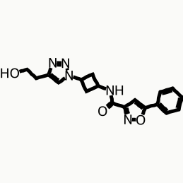 O=C(NC1CC(n2cc(CCO)nn2)C1)c1cc(-c2ccccc2)on1